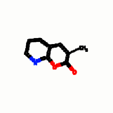 Cc1cc2cccnc2oc1=O